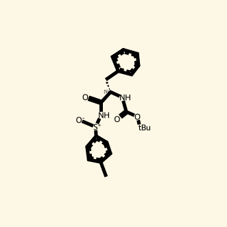 Cc1ccc([S+]([O-])NC(=O)[C@H](Cc2ccccc2)NC(=O)OC(C)(C)C)cc1